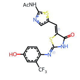 CC(=O)Nc1ncc(/C=C2\S/C(=N\c3ccc(O)cc3C(F)(F)F)NC2=O)s1